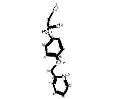 O=C(CCl)Nc1ccc(OCc2ccccn2)cc1